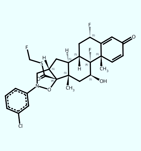 C[C@]12C=CC(=O)C=C1[C@@H](F)C[C@H]1[C@@H]3C[C@H]4CN(c5cccc(Cl)c5)O[C@@]4(C(=O)SCF)[C@@]3(C)C[C@H](O)[C@@]12F